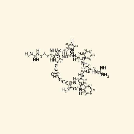 CC(=O)N[C@@H](CCCNC(=N)N)C(=O)N[C@H]1CCC(=O)NCCC[C@@H](C(N)=O)NC(=O)[C@H](Cc2c[nH]c3ccccc23)NC(=O)[C@H](CCCNC(=N)N)NC(=O)[C@@H](Cc2ccccc2)NC(=O)[C@H](Cc2c[nH]cn2)NC1=O